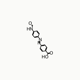 O=CNc1ccc(N=Nc2ccc(C(=O)O)cc2)cc1